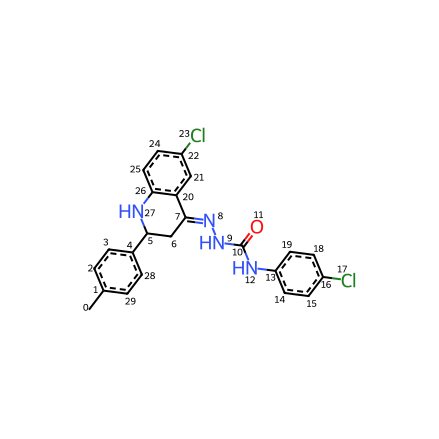 Cc1ccc(C2CC(=NNC(=O)Nc3ccc(Cl)cc3)c3cc(Cl)ccc3N2)cc1